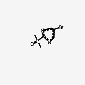 CP(C)(=O)c1ncc(Br)cn1